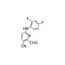 N#Cc1ccc(Nc2ccc(F)cc2F)nc1C=O